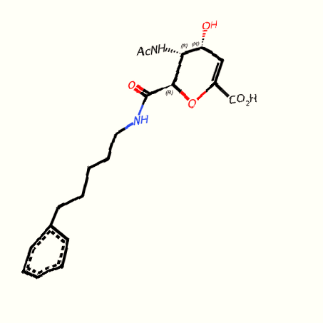 CC(=O)N[C@@H]1[C@H](O)C=C(C(=O)O)O[C@H]1C(=O)NCCCCCc1ccccc1